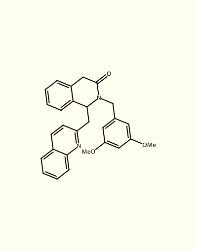 COc1cc(CN2C(=O)Cc3ccccc3C2Cc2ccc3ccccc3n2)cc(OC)c1